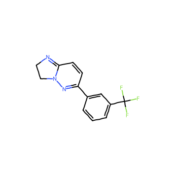 FC(F)(F)c1cccc(C2=NN3CCN=C3C=C2)c1